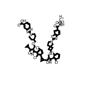 CS(=O)(=O)NC(=O)c1ccc2nc(N3CCC4(CC(OCc5c(-c6c(Cl)cccc6Cl)noc5C5CC5c5ccc(Cl)c(-c6noc(C7CC7)c6COCC6CCN(c7nc8ccc(C(=O)O)cc8s7)CC6)c5Cl)C4)C3)sc2c1